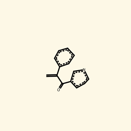 C=C(C(=O)c1cccnc1)c1ccccc1